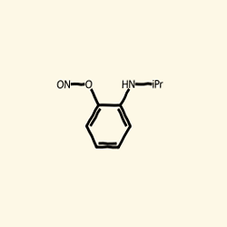 CC(C)Nc1ccccc1ON=O